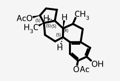 CC(=O)Oc1cc2c(cc1O)CC(C)[C@@H]1[C@@H]2CC[C@]2(C)[C@@H](OC(C)=O)CC[C@@H]12